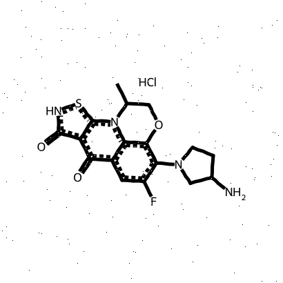 CC1COc2c(N3CCC(N)C3)c(F)cc3c(=O)c4c(=O)[nH]sc4n1c23.Cl